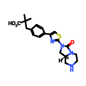 CC(C)(Cc1ccc(-c2csc(N3C[C@@H]4CNCCN4C3=O)n2)cc1)C(=O)O